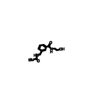 CC(C)(C)C(=O)NCc1cccc(C(=O)NCCO)c1